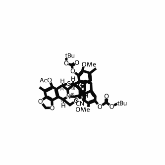 COc1cc2c(cc1OC(=O)OC(C)(C)C)CCN[C@]21CS[C@@H]2c3c(OC(C)=O)c(C)c4c(c3[C@H](COC1=O)N1C2[C@@H]2c3c(cc(C)c(OC)c3OC(=O)OC(C)(C)C)C[C@H]([C@@H]1C#N)N2C)OCO4